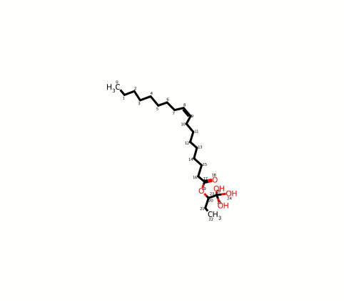 CCCCCCCC/C=C\CCCCCCCC(=O)OC(CC)C(O)(O)O